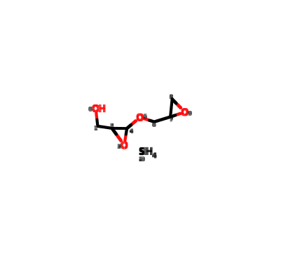 OCC1OC1OCC1CO1.[SiH4]